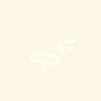 Cc1ccccc1S(=O)(=O)Oc1cccc2c1Cc1ccccc1[S+]2[O-]